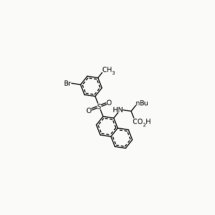 CCCCC(Nc1c(S(=O)(=O)c2cc(C)cc(Br)c2)ccc2ccccc12)C(=O)O